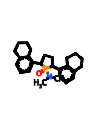 CN(C)P1(=O)C(c2cccc3c2CCCC3)CCC1c1cccc2c1CCCC2